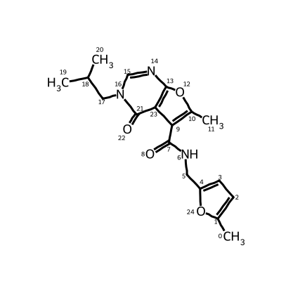 Cc1ccc(CNC(=O)c2c(C)oc3ncn(CC(C)C)c(=O)c23)o1